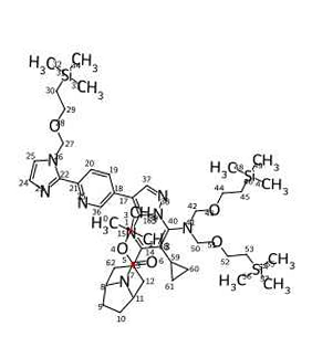 CC(C)(C)OC(=O)N1C2CCC1CC(c1nc3c(-c4ccc(-c5nccn5COCC[Si](C)(C)C)nc4)cnn3c(N(COCC[Si](C)(C)C)COCC[Si](C)(C)C)c1C1CC1)C2